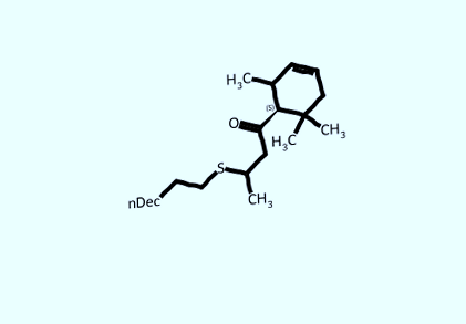 CCCCCCCCCCCCSC(C)CC(=O)[C@H]1C(C)C=CCC1(C)C